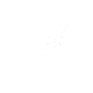 COc1ccc(OP(=O)(OC[C@@]2(C(F)F)O[C@@H](n3cnc4c(N)ncnc43)[C@@H](O)[C@@H]2O)Oc2ccc(OC)cc2)cc1